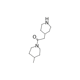 CC1CCN(C(=O)CC2CCNCC2)CC1